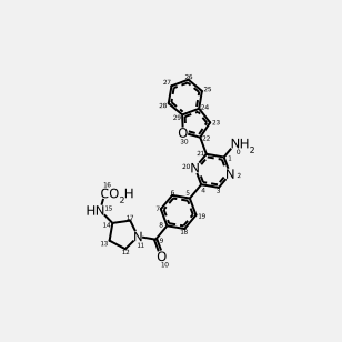 Nc1ncc(-c2ccc(C(=O)N3CCC(NC(=O)O)C3)cc2)nc1-c1cc2ccccc2o1